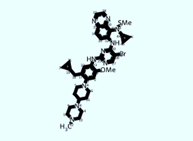 COc1cc(N2CCC(N3CCN(C)CC3)CC2)c(CC2CC2)cc1Nc1ncc(Br)c(Nc2ccc3nccnc3c2N(SC)C2CC2)n1